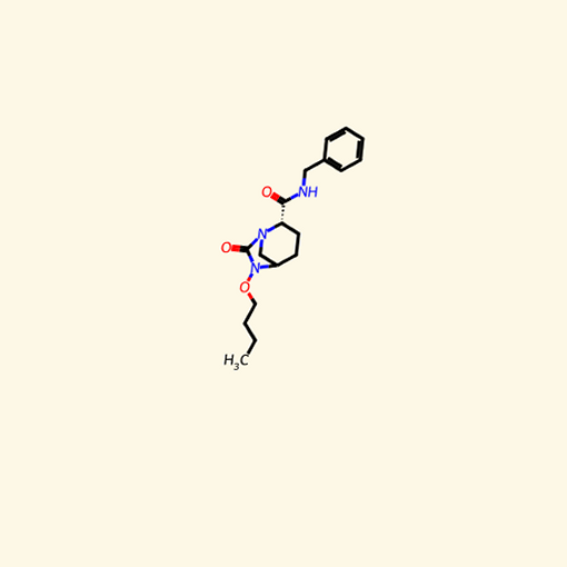 CCCCON1C(=O)N2CC1CC[C@H]2C(=O)NCc1ccccc1